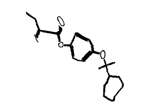 CCC(I)C(=O)Oc1ccc(OC(C)(C)C2CCCCC2)cc1